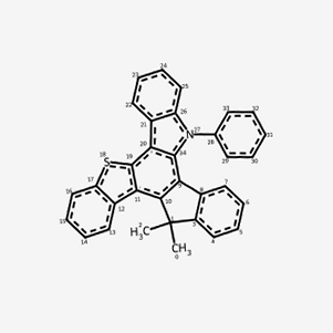 CC1(C)c2ccccc2-c2c1c1c3ccccc3sc1c1c3ccccc3n(-c3ccccc3)c21